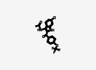 CC(=O)Nc1c(C(=O)c2ccc(OC(F)(F)F)cc2)[nH]c2cc(Cl)ccc12